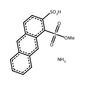 COS(=O)(=O)c1c(S(=O)(=O)O)ccc2cc3ccccc3cc12.N